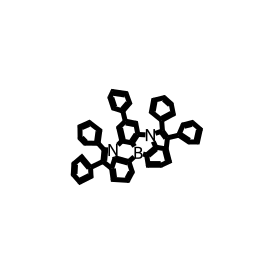 c1ccc(-c2cc3c4c(c2)-n2c(-c5ccccc5)c(-c5ccccc5)c5cccc(c52)B4c2cccc4c(-c5ccccc5)c(-c5ccccc5)n-3c24)cc1